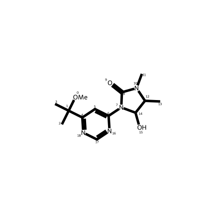 COC(C)(C)c1cc(N2C(=O)N(C)C(C)C2O)ncn1